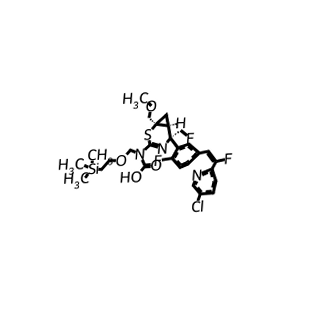 COC[C@]12C[C@H]1[C@@](CF)(c1cc(/C=C(/F)c3ccc(Cl)cn3)ccc1F)N=C(N(COCC[Si](C)(C)C)C(=O)O)S2